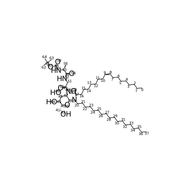 CCCCCCCC/C=C\CCCCCCCC(=O)N(CCCCCCCCCCCCCCCCCC)[C@@H]1O[C@H](CO)[C@@H](O)[C@H](O)[C@H]1NC(=O)CNC(=O)[C@H](C)NC(=O)OC(C)(C)C